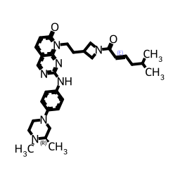 CC(C)C/C=C/C(=O)N1CC(CCn2c(=O)ccc3cnc(Nc4ccc(N5CCN(C)[C@H](C)C5)cc4)nc32)C1